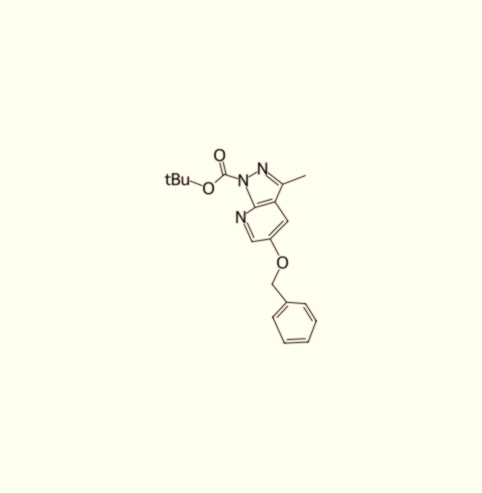 Cc1nn(C(=O)OC(C)(C)C)c2ncc(OCc3ccccc3)cc12